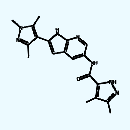 Cc1n[nH]c(C(=O)Nc2cnc3[nH]c(-c4c(C)nn(C)c4C)cc3c2)c1C